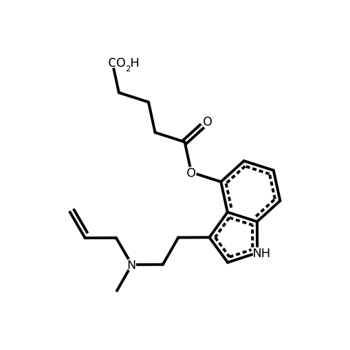 C=CCN(C)CCc1c[nH]c2cccc(OC(=O)CCCC(=O)O)c12